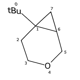 CC(C)(C)C12CCOCC1C2